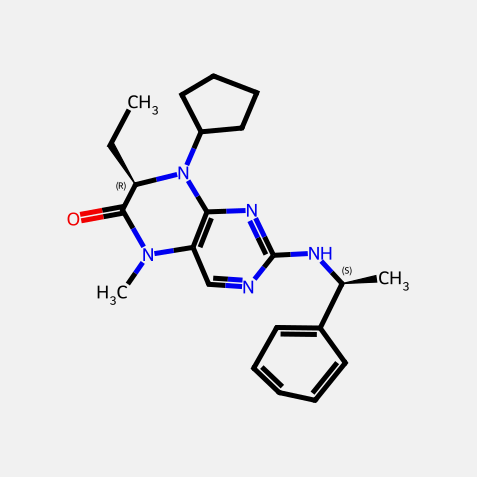 CC[C@@H]1C(=O)N(C)c2cnc(N[C@@H](C)c3ccccc3)nc2N1C1CCCC1